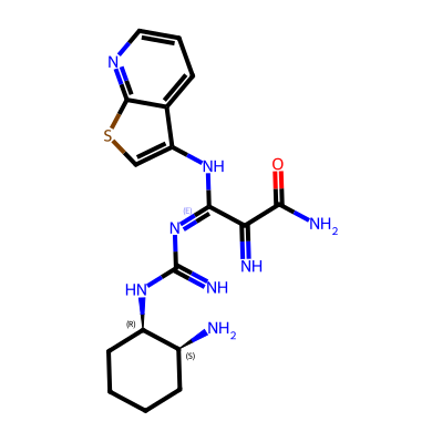 N=C(/N=C(/Nc1csc2ncccc12)C(=N)C(N)=O)N[C@@H]1CCCC[C@@H]1N